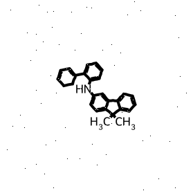 CC1(C)c2ccccc2-c2cc(Nc3ccccc3C3=CC=CCC3)ccc21